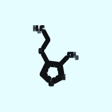 CCOc1conc1C